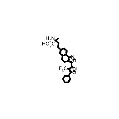 C[C@](N)(CCc1ccc2c(c1)CCc1c-2noc1-c1noc(C2=CCCC=C2)c1C(F)(F)F)C(=O)O